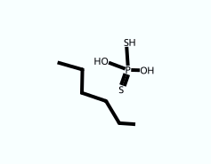 CCCCCC.OP(O)(=S)S